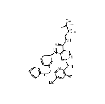 CC(C)(O)[C@H](F)CNC(=O)c1cnc(Nc2ncc(C#N)cc2F)cc1Nc1cccc(COc2ccccc2)c1